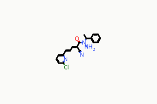 CC(c1ccccc1)N(N)C(=O)/C(C#N)=C/C=C/c1cccc(Cl)n1